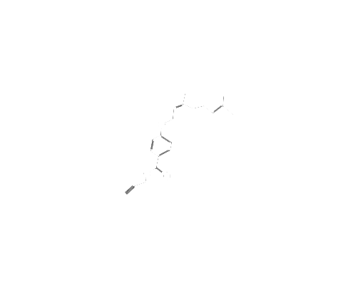 C#CCOC(=O)c1ccc(OCC=C(C)CCC=C(C)C)cc1